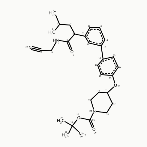 CC(C)CC(C(=O)NCC#N)c1cccc(-c2ccc(OC3CCN(C(=O)OC(C)(C)C)CC3)cc2)c1